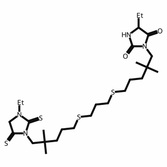 CCC1NC(=O)N(CC(C)(C)CCCSCCCSCCCC(C)(C)CN2C(=S)CN(CC)C2=S)C1=O